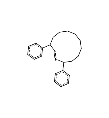 c1ccc(C2CCCCCCCCC(c3ccccc3)/N=N/2)cc1